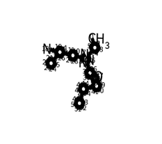 Cc1cccc(-c2nc(-c3ccc(-c4ccc(C#N)c(-c5ccccc5)c4)cc3)nc(-c3ccc4c(c3)oc3cccc(-c5cccc(-c6ccccc6)c5)c34)n2)c1